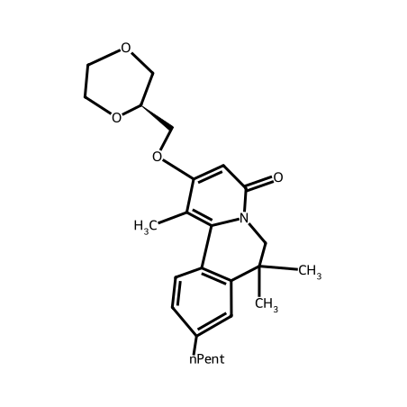 CCCCCc1ccc2c(c1)C(C)(C)Cn1c-2c(C)c(OC[C@@H]2COCCO2)cc1=O